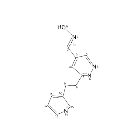 O/N=C/c1cnnc(CCc2cccnc2)c1